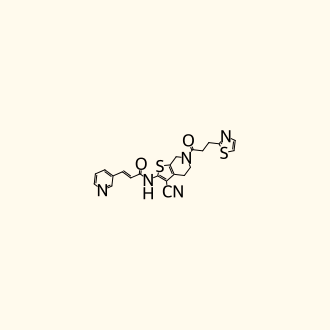 N#Cc1c(NC(=O)C=Cc2cccnc2)sc2c1CCN(C(=O)CCc1nccs1)C2